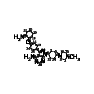 CN1CCN(C2CCC(n3nc(-c4ccc(Oc5ccccc5N)cc4)c4c(N)ncnc43)CC2)CC1